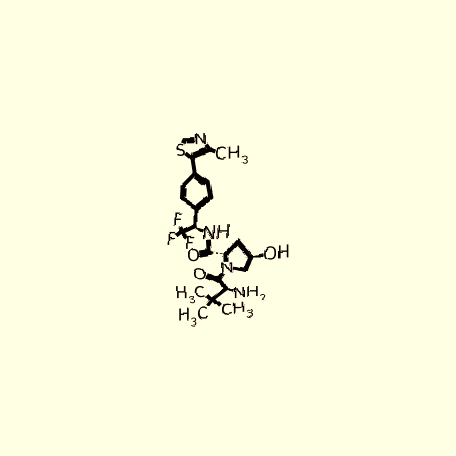 Cc1ncsc1-c1ccc([C@@H](NC(=O)[C@@H]2C[C@@H](O)CN2C(=O)[C@@H](N)C(C)(C)C)C(F)(F)F)cc1